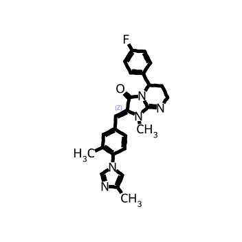 Cc1cn(-c2ccc(/C=c3/c(=O)n4c(n3C)=NCCC4c3ccc(F)cc3)cc2C)cn1